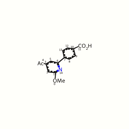 COc1cc(C(C)=O)cc(-c2ccc(C(=O)O)cc2)n1